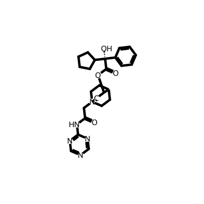 O=C(C[N+]12CCC(CC1)C(OC(=O)[C@](O)(c1ccccc1)C1CCCC1)C2)Nc1ncncn1